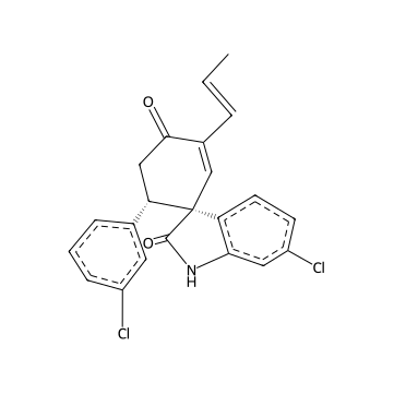 C/C=C/C1=C[C@@]2(C(=O)Nc3cc(Cl)ccc32)[C@H](c2cccc(Cl)c2)CC1=O